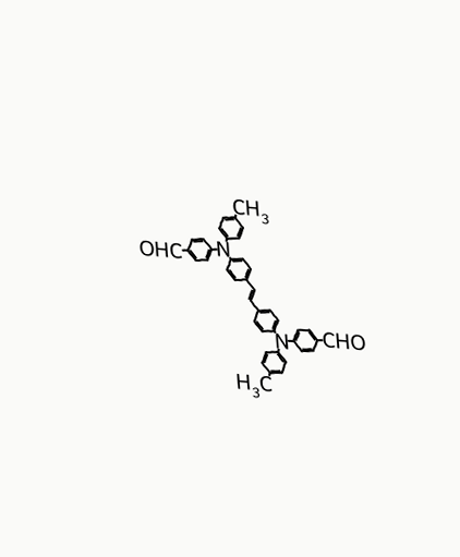 Cc1ccc(N(c2ccc(C=O)cc2)c2ccc(C=Cc3ccc(N(c4ccc(C)cc4)c4ccc(C=O)cc4)cc3)cc2)cc1